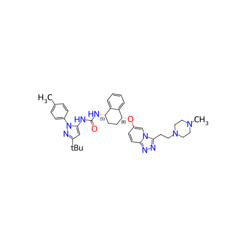 Cc1ccc(-n2nc(C(C)(C)C)cc2NC(=O)N[C@H]2CC[C@@H](Oc3ccc4nnc(CCN5CCN(C)CC5)n4c3)c3ccccc32)cc1